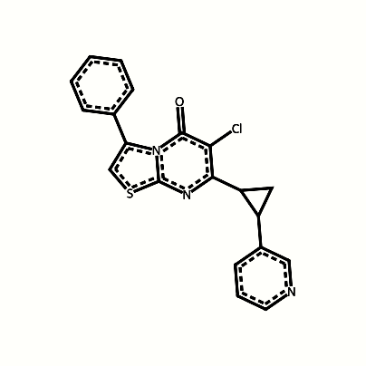 O=c1c(Cl)c(C2CC2c2cccnc2)nc2scc(-c3ccccc3)n12